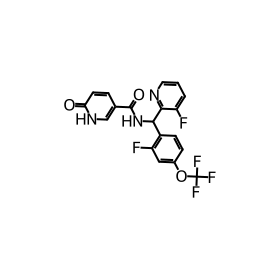 O=C(NC(c1ccc(OC(F)(F)F)cc1F)c1ncccc1F)c1ccc(=O)[nH]c1